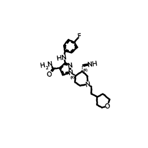 N=C[C@@H]1CN(CCC2CCOCC2)CC[C@H]1n1cc(C(N)=O)c(Nc2ccc(F)cc2)n1